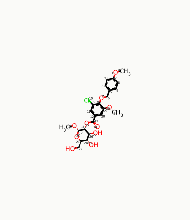 COc1ccc(COc2c(Cl)cc(C(=O)O[C@H]3[C@@H](OC)O[C@H](CO)[C@@H](O)[C@@H]3O)cc2OC)cc1